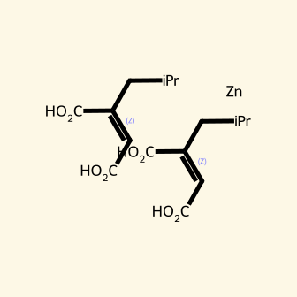 CC(C)C/C(=C/C(=O)O)C(=O)O.CC(C)C/C(=C/C(=O)O)C(=O)O.[Zn]